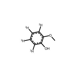 [2H]c1c([2H])c([2H])c(OC)c(O)c1[2H]